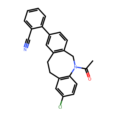 CC(=O)N1Cc2ccc(-c3ccccc3C#N)cc2CCc2cc(Cl)ccc21